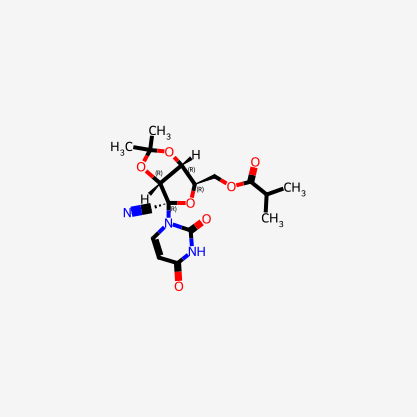 CC(C)C(=O)OC[C@H]1O[C@@](C#N)(n2ccc(=O)[nH]c2=O)[C@@H]2OC(C)(C)O[C@@H]21